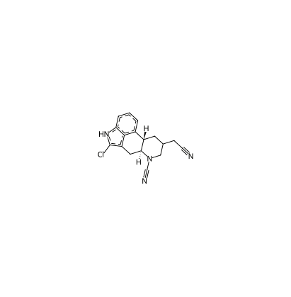 N#CCC1C[C@H]2c3cccc4[nH]c(Cl)c(c34)C[C@@H]2N(C#N)C1